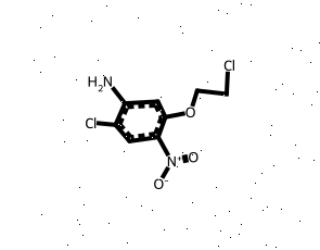 Nc1cc(OCCCl)c([N+](=O)[O-])cc1Cl